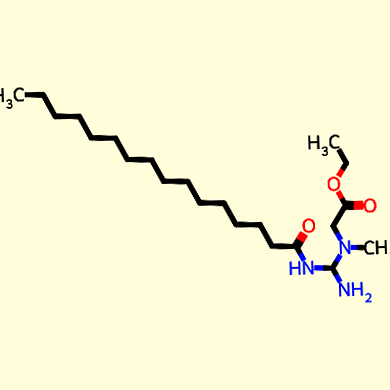 CCCCCCCCCCCCCCCC(=O)NC(N)N(C)CC(=O)OCC